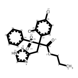 CCCOC(=O)C(Cc1nc[nH]n1)(c1ccc(Cl)cc1Cl)S(=O)(=O)c1ccccc1